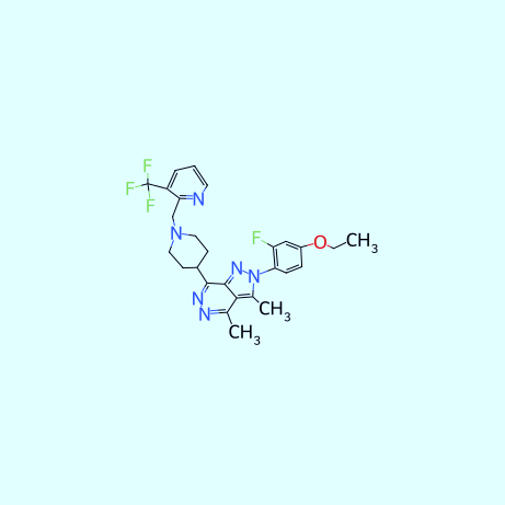 CCOc1ccc(-n2nc3c(C4CCN(Cc5ncccc5C(F)(F)F)CC4)nnc(C)c3c2C)c(F)c1